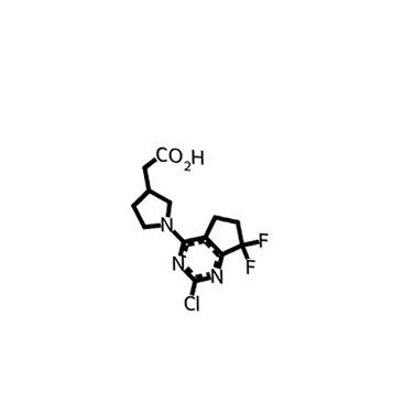 O=C(O)CC1CCN(c2nc(Cl)nc3c2CCC3(F)F)C1